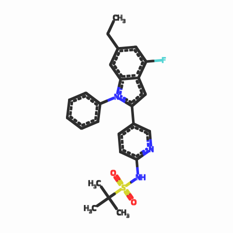 CCc1cc(F)c2cc(-c3ccc(NS(=O)(=O)C(C)(C)C)nc3)n(-c3ccccc3)c2c1